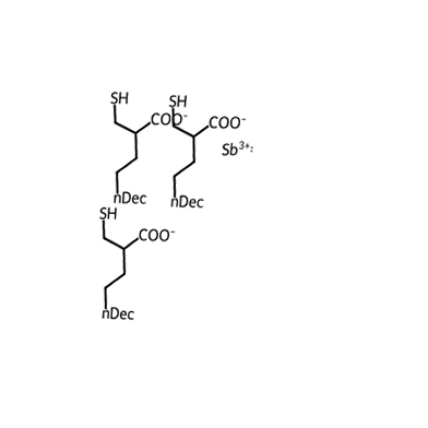 CCCCCCCCCCCCC(CS)C(=O)[O-].CCCCCCCCCCCCC(CS)C(=O)[O-].CCCCCCCCCCCCC(CS)C(=O)[O-].[Sb+3]